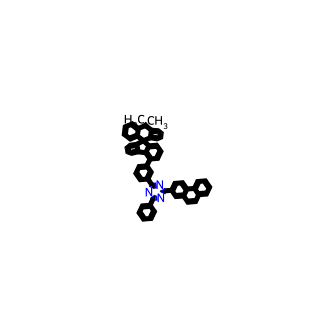 CC1(C)c2ccccc2C2(c3ccccc3-c3c(-c4cccc(-c5nc(-c6ccccc6)nc(-c6ccc7c(ccc8ccccc87)c6)n5)c4)cccc32)c2ccccc21